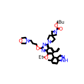 C=Cc1cc2c(N3CCC4(CC3)CN(C(=O)OC(C)(C)C)C4)nc(OCCCN3CCOCC3)nc2c(OCC)c1-c1c(C)ccc2[nH]ncc12